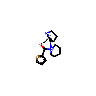 O=C(c1cccs1)[N+]1([C@H]2CN3CCC2CC3)CCCCC1